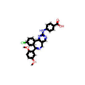 COc1ccc(OC)c(C2=NCc3cnc(Nc4ccc(C(=O)O)cc4)nc3-c3ccc(Cl)cc32)c1